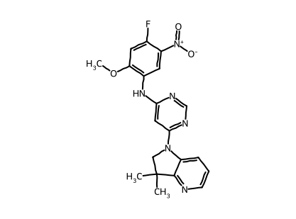 COc1cc(F)c([N+](=O)[O-])cc1Nc1cc(N2CC(C)(C)c3ncccc32)ncn1